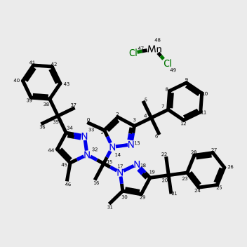 Cc1cc(C(C)(C)c2ccccc2)nn1C(C)(n1nc(C(C)(C)c2ccccc2)cc1C)n1nc(C(C)(C)c2ccccc2)cc1C.[Cl][Mn][Cl]